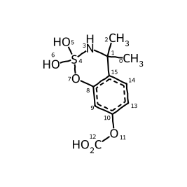 CC1(C)NS(O)(O)Oc2cc(OC(=O)O)ccc21